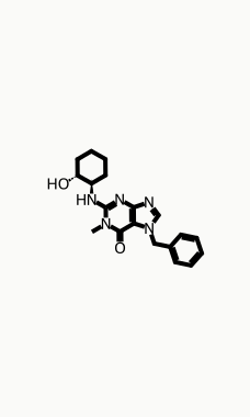 Cn1c(N[C@@H]2CCCC[C@H]2O)nc2ncn(Cc3ccccc3)c2c1=O